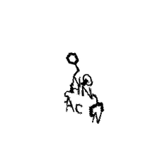 CC(=O)SCCN(CCc1ccccc1)C(=O)NCc1ccncc1